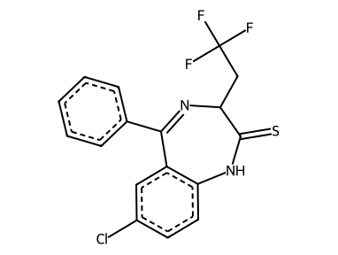 FC(F)(F)CC1N=C(c2ccccc2)c2cc(Cl)ccc2NC1=S